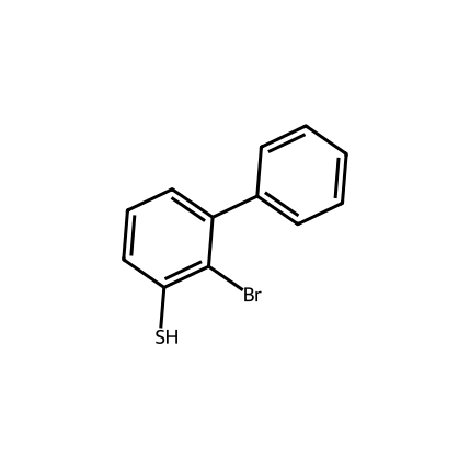 Sc1cccc(-c2ccccc2)c1Br